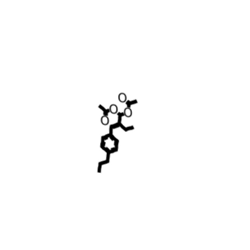 CCCc1ccc(/C=C(\CC)C(OC(C)=O)OC(C)=O)cc1